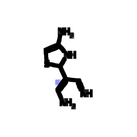 N=C/C(=C\N)C1NC(N)=CS1